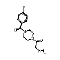 NCC(=O)N1CCN(C(=O)c2ccc(F)cc2)CC1